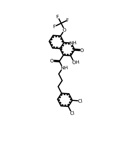 O=C(NCCCc1ccc(Cl)c(Cl)c1)c1c(O)c(=O)[nH]c2c(OC(F)(F)F)cccc12